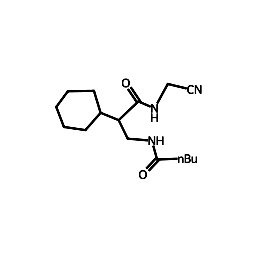 CCCCC(=O)NCC(C(=O)NCC#N)C1CCCCC1